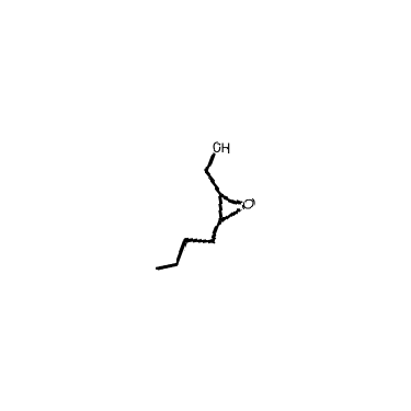 CCCCC1OC1CO